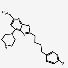 Fc1ccc(CCCCc2nc3c(N4CCNCC4)nc([AsH2])nc3s2)cc1